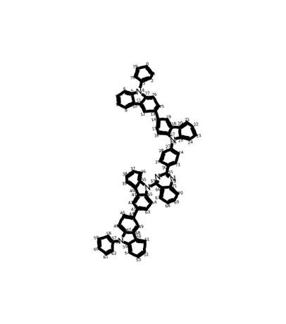 c1ccc(-n2c3ccccc3c3cc(-c4ccc5c(c4)c4ccccc4n5-c4ccc(-c5nc(-n6c7ccccc7c7cc(-c8ccc9c(c8)c8ccccc8n9-c8ccccc8)ccc76)c6ccccc6n5)cc4)ccc32)cc1